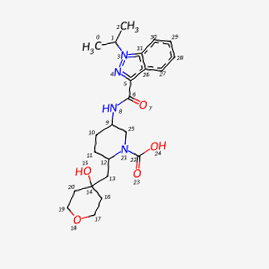 CC(C)n1nc(C(=O)NC2CCC(CC3(O)CCOCC3)N(C(=O)O)C2)c2ccccc21